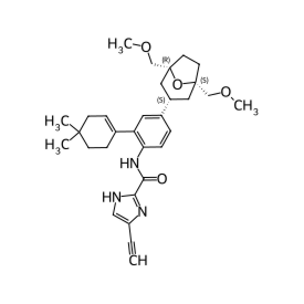 C#Cc1c[nH]c(C(=O)Nc2ccc([C@@H]3C[C@@]4(COC)CC[C@@](COC)(C3)O4)cc2C2=CCC(C)(C)CC2)n1